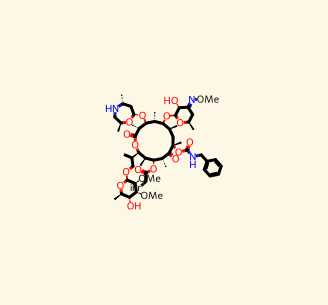 CO/N=C1\C[C@@H](C)O[C@@H](O[C@@H]2[C@@H](C)[C@H](O[C@H]3C[C@@H](C)NC[C@H](C)O3)[C@@H](C)C(=O)O[C@H](C(C)CO[C@@H]3O[C@H](C)[C@@H](O)[C@@H](OC)[C@H]3OC)[C@H](C)[C@@H](OC(=O)CC(C)C)[C@@H](C)C(=O)[C@@](C)(OC(=O)NCc3ccccc3)C[C@@H]2C)[C@@H]1O